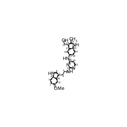 COc1ccc2[nH]cc(CCNc3nccc(Nc4ccc5[nH]c(C)c(CO)c5c4)n3)c2c1